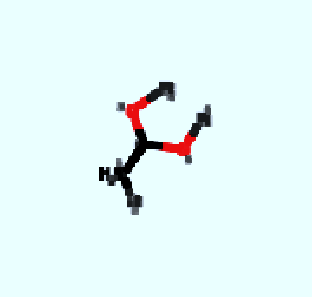 [CH2]C[SiH2]C(OCC)OCC